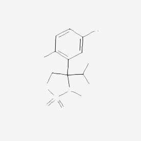 O=C(O)N1C(c2cc(Br)ccc2F)(C(F)F)COS1(=O)=O